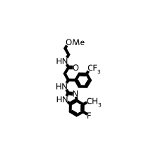 COCCNC(=O)CC(Nc1nc2c(C)c(F)ccc2[nH]1)c1cccc(C(F)(F)F)c1